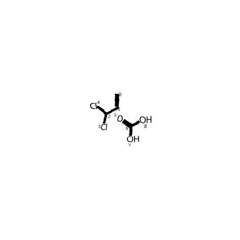 C=CC(Cl)Cl.O=C(O)O